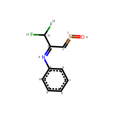 O=S=CC(=Nc1ccccc1)C(F)F